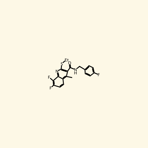 CCSc1nc2c(F)c(F)ccc2c(C)c1C(=O)NCc1ccc(F)cc1